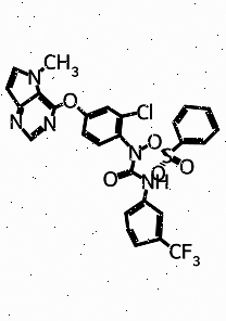 Cn1ccc2ncnc(Oc3ccc(N(OS(=O)(=O)c4ccccc4)C(=O)Nc4cccc(C(F)(F)F)c4)c(Cl)c3)c21